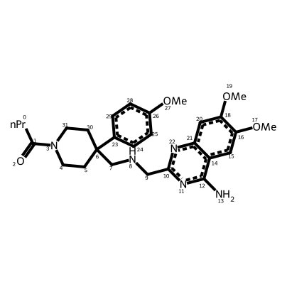 CCCC(=O)N1CCC(CNCc2nc(N)c3cc(OC)c(OC)cc3n2)(c2ccc(OC)cc2)CC1